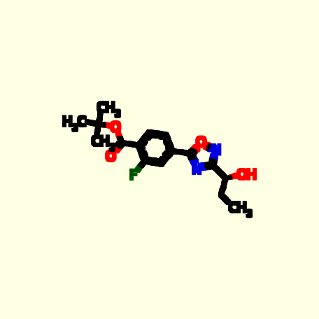 CC[C@H](O)c1noc(-c2ccc(C(=O)OC(C)(C)C)c(F)c2)n1